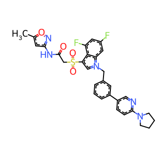 Cc1cc(NC(=O)CS(=O)(=O)c2cn(Cc3cccc(-c4ccc(N5CCCC5)nc4)c3)c3cc(F)cc(F)c23)no1